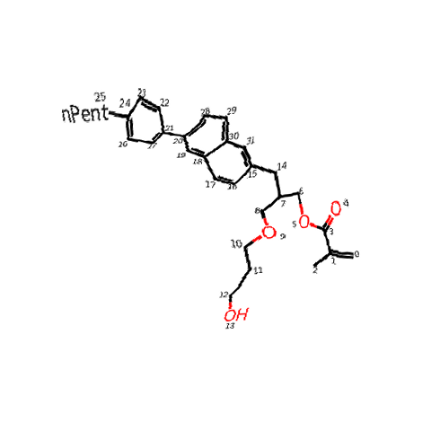 C=C(C)C(=O)OCC(COCCCO)Cc1ccc2cc(-c3ccc(CCCCC)cc3)ccc2c1